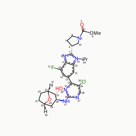 COC(=O)N1CC[C@@H](c2nc3c(F)cc(-c4nc(N[C@H]5C[C@@H]6CC[C@@H](O6)[C@@H]5O)ncc4Cl)cc3n2C(C)C)C1